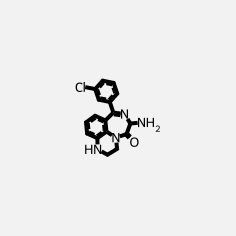 NC1N=C(c2cccc(Cl)c2)c2cccc3c2N(CCN3)C1=O